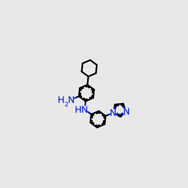 Nc1cc(C2CCCCC2)ccc1Nc1cccc(-n2ccnc2)c1